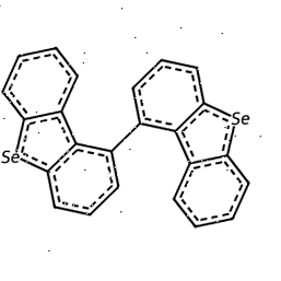 c1ccc2c(c1)[se]c1cccc(-c3cccc4[se]c5ccccc5c34)c12